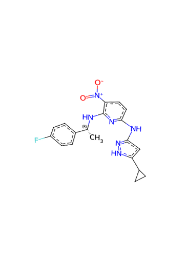 C[C@@H](Nc1nc(Nc2cc(C3CC3)[nH]n2)ccc1[N+](=O)[O-])c1ccc(F)cc1